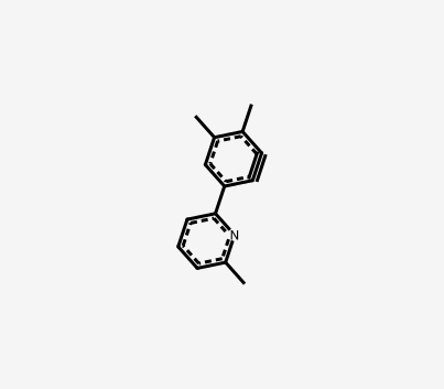 Cc1cccc(-c2c#cc(C)c(C)c2)n1